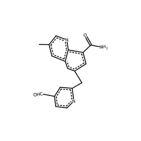 Cc1cnc2c(C(N)=O)cc(Cc3cc(C=O)ccn3)cc2c1